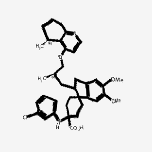 COc1cc2c(cc1OC)C1(CCC(Nc3cccc(Cl)c3)(C(=O)O)CC1)C(C[C@@H](C)COc1ccnc3c1[C@H](C)CCC3)C2